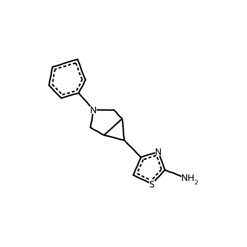 Nc1nc(C2C3CN(c4ccccc4)CC32)cs1